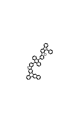 c1ccc(-n2c3ccccc3c3ccc4c5cc(-c6c7ccccc7c(-c7ccc8sc9cc%10c%11ccccc%11c%11cc%12ccccc%12cc%11c%10cc9c8c7)c7ccccc67)ccc5oc4c32)cc1